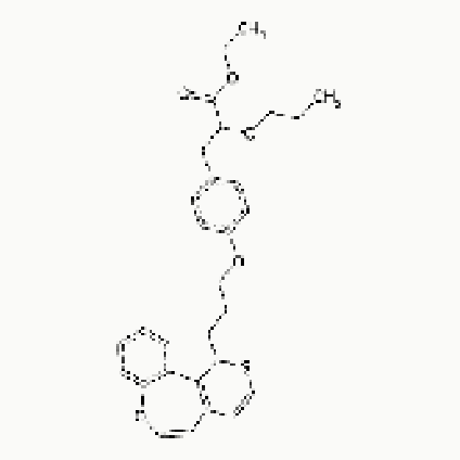 CCCOC(Cc1ccc(OCCCC2SC=CC3=C2c2ccccc2OC=C3)cc1)C(=O)OCC